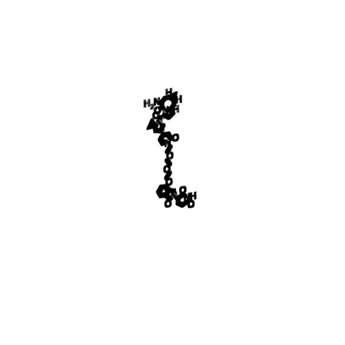 N[C@H]1C[C@@H]2C[C@@H]2C[C@H]2CC[C@@H](C(=O)N3C[C@@H](c4ccn(CCOCCOCCOc5cccc6c5CN(C5CCC(=O)NC5=O)C6=O)c(=O)c4)CC34CC4)N2C1=O